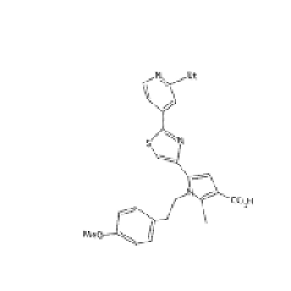 CCc1cc(-c2nc(-c3cc(C(=O)O)c(C)n3CCc3ccc(OC)cc3)cs2)ccn1